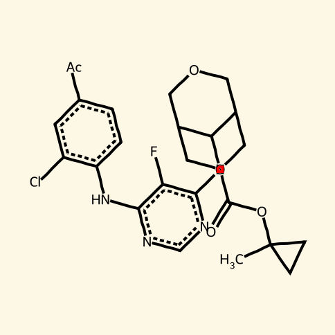 CC(=O)c1ccc(Nc2ncnc(OC3C4COCC3CN(C(=O)OC3(C)CC3)C4)c2F)c(Cl)c1